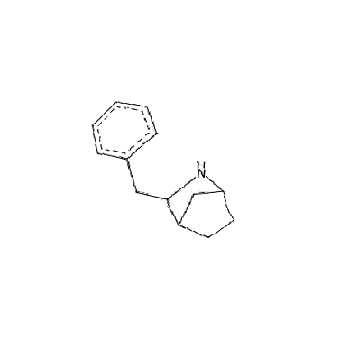 c1ccc(CC2NC3CCC2C3)cc1